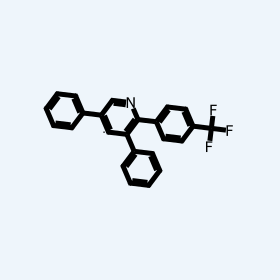 FC(F)(F)c1ccc(-c2ncc(-c3ccccc3)[c]c2-c2ccccc2)cc1